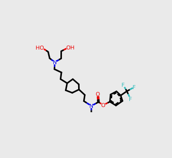 CN(CCC1CCC(CCCN(CCO)CCO)CC1)C(=O)Oc1ccc(C(F)(F)F)cc1